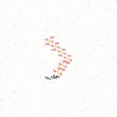 O=S(=O)(O)O.O=S(=O)(O)O.O=S(=O)(O)O.O=S(=O)(O)O.O=S(=O)(O)O.O=S(=O)(O)O.[NaH].[NaH].[NaH]